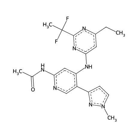 CCc1cc(Nc2cc(NC(C)=O)ncc2-c2ccn(C)n2)nc(C(C)(F)F)n1